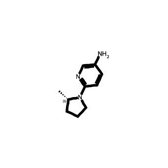 C[C@H]1CCCN1c1ccc(N)cn1